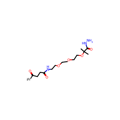 CC(C)C(=O)CCC(=O)NCCOCCOCCOC(C)(C)C(=O)NN